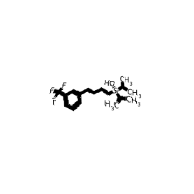 CC(C)[Si](O)(CCCCc1cccc(C(F)(F)F)c1)C(C)C